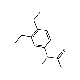 CCc1ccc(N(C)C(C)=S)cc1CC